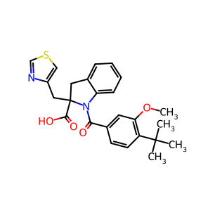 COc1cc(C(=O)N2c3ccccc3CC2(Cc2cscn2)C(=O)O)ccc1C(C)(C)C